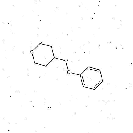 [CH](Oc1ccccc1)C1CCOCC1